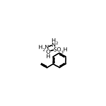 C=Cc1ccccc1.NN.O=S(=O)(O)O